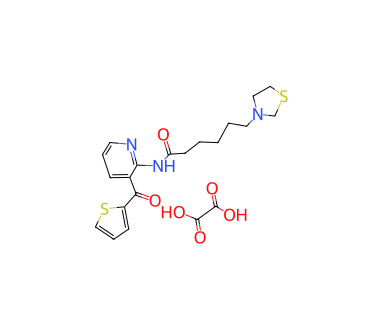 O=C(CCCCCN1CCSC1)Nc1ncccc1C(=O)c1cccs1.O=C(O)C(=O)O